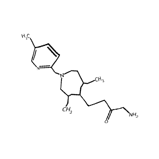 Cc1ccc(N2CC(C)C(CCC(=O)CN)C(C)C2)nc1